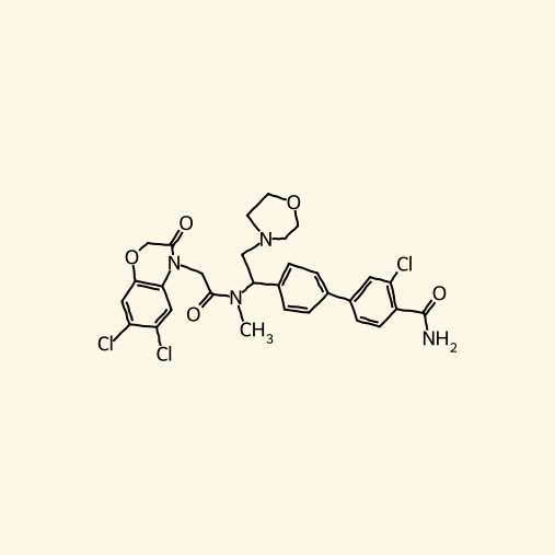 CN(C(=O)CN1C(=O)COc2cc(Cl)c(Cl)cc21)C(CN1CCOCC1)c1ccc(-c2ccc(C(N)=O)c(Cl)c2)cc1